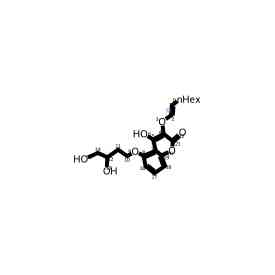 CCCCCC/C=C/Oc1c(O)c2c(OCCC(O)CO)cccc2oc1=O